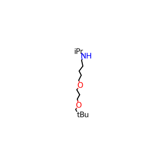 CC(C)NCCCCCOCCCOCC(C)(C)C